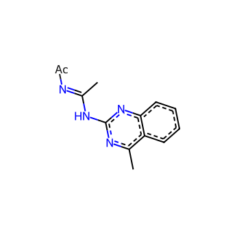 CC(=O)/N=C(\C)Nc1nc(C)c2ccccc2n1